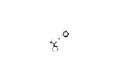 NC(=O)c1c(NC(=O)Nc2cc(Cl)cc(Cl)c2)sc2c1CCNC2